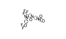 O=C1c2c(c(C(F)(F)F)nn2-c2ccc(OC(F)F)cc2)CCN1C1CCN(N2CCOCC2=O)CC1